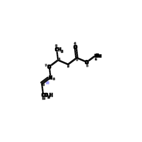 CC(CC(=O)OC(C)(C)C)O/N=C/C(=O)O